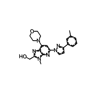 Cc1cccc(-c2ccn(-c3cc(N4CCOCC4)c4nc(CO)n(C)c4n3)n2)c1